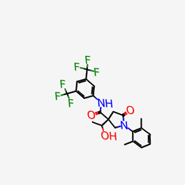 Cc1cccc(C)c1N1CC(C(=O)Nc2cc(C(F)(F)F)cc(C(F)(F)F)c2)(C(C)O)CC1=O